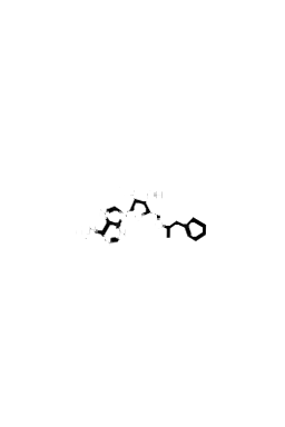 CC(Cc1ccccc1)OC[C@H]1O[C@@H](n2cnc3c(N)ncnc32)[C@H](O)[C@@H]1O